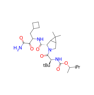 CC(C)C(C)OC(=O)N[C@H](C(=O)N1CC2C([C@H]1C(=O)NC(CC1CCC1)C(=O)C(N)=O)C2(C)C)C(C)(C)C